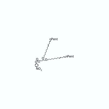 CCCCCC=CCC=CCCCCCCCCOCC(CCOC(=O)Oc1ccc([N+](=O)[O-])cc1)OCCCCCCCCC=CCC=CCCCCC